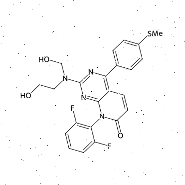 CSc1ccc(-c2nc(N(CO)CCO)nc3c2ccc(=O)n3-c2c(F)cccc2F)cc1